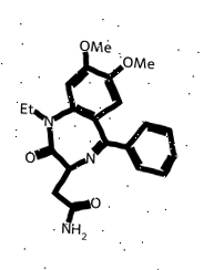 CCN1C(=O)C(CC(N)=O)N=C(c2ccccc2)c2cc(OC)c(OC)cc21